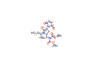 CC(C)(C)OC(=O)N(C[C@@H]1C[C@@H](N2C(=O)C=CC2=O)C(=O)N1C(C(=O)O)C(C)(C)C)C(=O)OC(C)(C)C